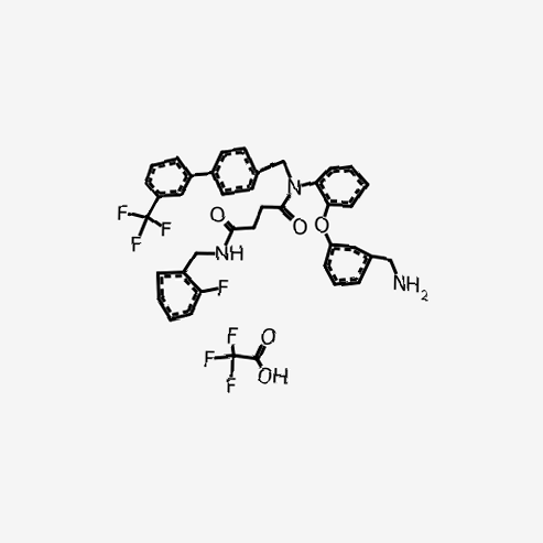 NCc1cccc(Oc2ccccc2N(Cc2ccc(-c3cccc(C(F)(F)F)c3)cc2)C(=O)CCC(=O)NCc2ccccc2F)c1.O=C(O)C(F)(F)F